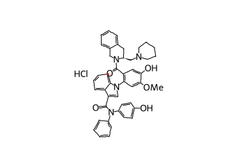 COc1cc(-n2cc(C(=O)N(c3ccccc3)c3ccc(O)cc3)c3ccccc32)c(C(=O)N2Cc3ccccc3C[C@H]2CN2CCCCC2)cc1O.Cl